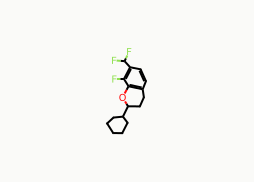 Fc1c(C(F)F)ccc2c1OC(C1CCCCC1)CC2